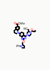 C=CC(=O)N1CCN(c2nc(OCC3CCCN3C(C)C)nc3c2CCC(N2CCCc4cc(C(=O)OC)ccc42)C3)CC1CC#N